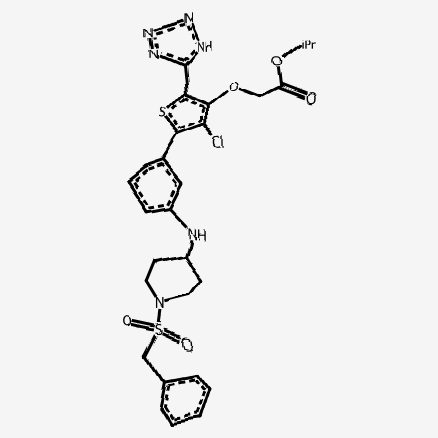 CC(C)OC(=O)COc1c(-c2nnn[nH]2)sc(-c2cccc(NC3CCN(S(=O)(=O)Cc4ccccc4)CC3)c2)c1Cl